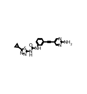 Nc1ncc(C#Cc2cccc(NC(=O)Nc3nnc(C4CC4)s3)c2)cn1